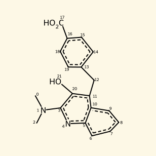 CN(C)c1nc2ccccc2c(Cc2ccc(C(=O)O)cc2)c1O